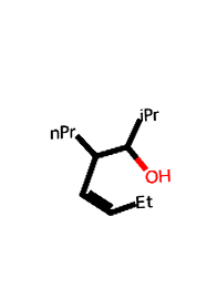 CC/C=C\C(CCC)C(O)C(C)C